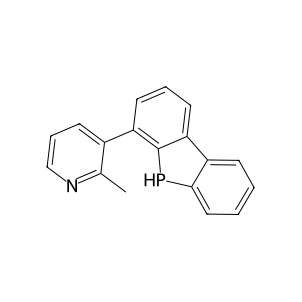 Cc1ncccc1-c1cccc2c1[pH]c1ccccc12